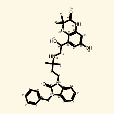 CC(C)(CCn1c(=O)n(Cc2ccccc2)c2ccccc21)NCC(O)c1cc(O)cc2c1OC(C)(C)C(=O)N2